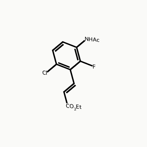 CCOC(=O)/C=C/c1c(Cl)ccc(NC(C)=O)c1F